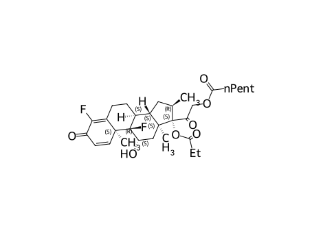 CCCCCC(=O)OCC(=O)[C@]1(OC(=O)CC)[C@H](C)C[C@H]2[C@@H]3CCC4=C(F)C(=O)C=C[C@]4(C)[C@@]3(F)[C@@H](O)C[C@@]21C